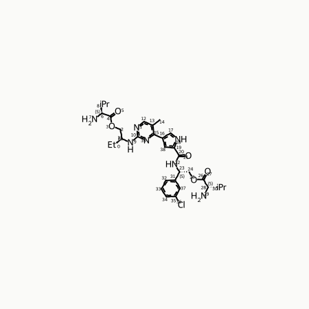 CC[C@@H](COC(=O)[C@@H](N)C(C)C)Nc1ncc(C)c(-c2c[nH]c(C(=O)N[C@H](COC(=O)[C@@H](N)C(C)C)c3cccc(Cl)c3)c2)n1